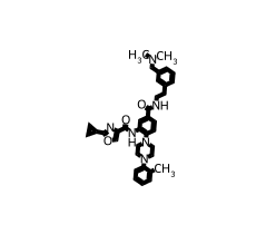 Cc1ccccc1N1CCN(c2ccc(C(=O)NCCc3cccc(CN(C)C)c3)cc2NC(=O)c2coc(C3CC3)n2)CC1